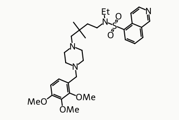 CCN(CCC(C)(C)CN1CCN(Cc2ccc(OC)c(OC)c2OC)CC1)S(=O)(=O)c1cccc2cnccc12